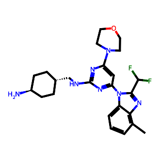 Cc1cccc2c1nc(C(F)F)n2-c1cc(N2CCOCC2)nc(NC[C@H]2CC[C@H](N)CC2)n1